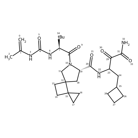 C=C(C)NC(=O)N[C@H](C(=O)N1CC2(CCC23CC3)C[C@H]1C(=O)NC(CC1CCC1)C(=O)C(N)=O)C(C)(C)C